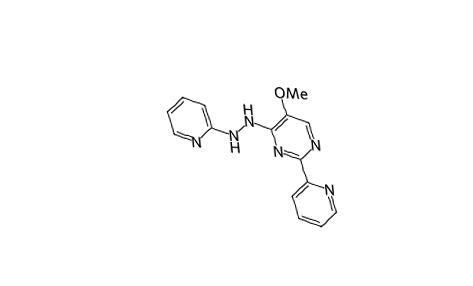 COc1cnc(-c2ccccn2)nc1NNc1ccccn1